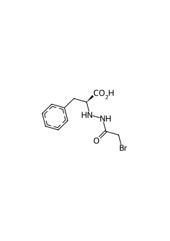 O=C(CBr)NN[C@@H](Cc1ccccc1)C(=O)O